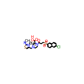 CN=c1scc(CN2CCN(C(=O)CCS(=O)(=O)c3ccc4cc(Cl)ccc4c3)C(C(=O)O)C2)n1C